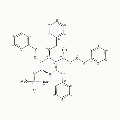 COP(=O)(C[C@H](O)[C@H](OCc1ccccc1)[C@@H](OCc1ccccc1)[C@H](OCc1ccccc1)[C@H](O)COCc1ccccc1)OC